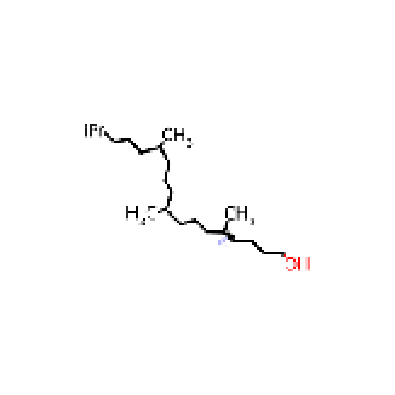 C/C(=C\CCCO)CCCC(C)CCCC(C)CCCC(C)C